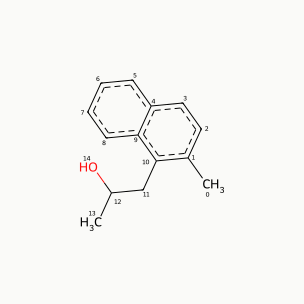 Cc1ccc2ccccc2c1CC(C)O